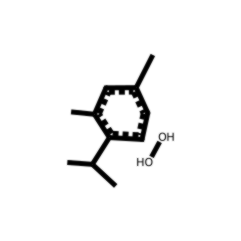 Cc1ccc(C(C)C)c(C)c1.OO